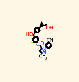 N#Cc1cccc(-n2nc(C(F)(F)F)cc2C(=O)Nc2ccc(C(O)c3ccc(C4CC4CO)cc3)cc2F)c1